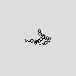 Cc1c(C(=O)N(C)c2ccc(O)cc2)cc(-c2cc3c(cc2C(=O)N2Cc4ccccc4C[C@H]2C)CN(C(=O)Oc2ccc(CCN(C)C)cc2)CC3)n1C